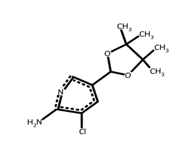 CC1(C)OC(c2cnc(N)c(Cl)c2)OC1(C)C